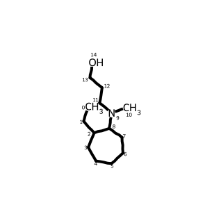 CCC1CCCCCC1N(C)CCCO